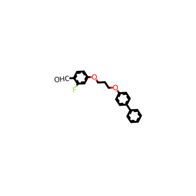 O=Cc1ccc(OCCCOc2ccc(-c3ccccc3)cc2)cc1F